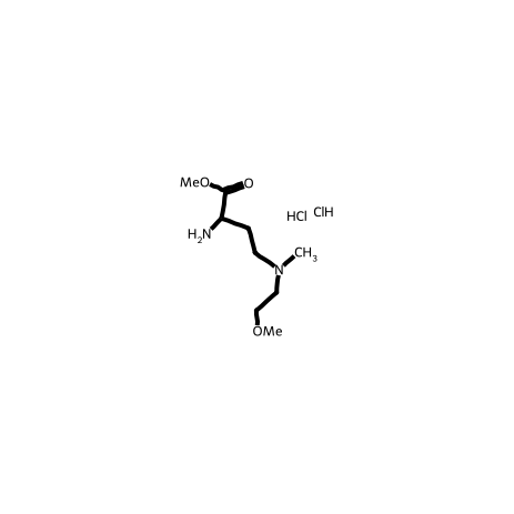 COCCN(C)CCC(N)C(=O)OC.Cl.Cl